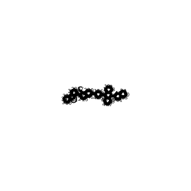 c1ccc2cc(-c3c4ccccc4c(-c4ccc(-c5ccc6c(ccc7c6sc6ccc8c9ccccc9oc8c67)c5)cc4)c4ccccc34)ccc2c1